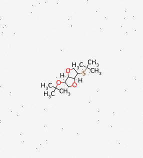 CC(C)(C)OC1CO[C@@H]2C(SC(C)(C)C)CO[C@H]12